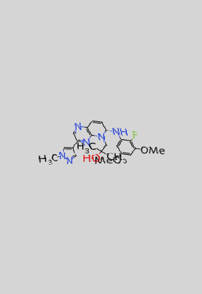 COc1cc(NC2C=Cc3ncc(-c4cnn(C)c4)nc3N2CC(C)(C)O)c(F)c(OC)c1